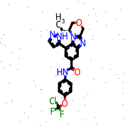 CC[C@@H]1COCc2nc3cc(C(=O)Nc4ccc(OC(F)(F)Cl)cc4)cc(-c4ccn[nH]4)c3n21